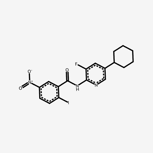 O=C(Nc1ncc(C2CCCCC2)cc1F)c1cc([N+](=O)[O-])ccc1I